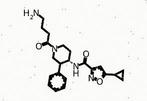 NCCCC(=O)N1CC[C@H](NC(=O)c2cc(C3CC3)on2)C(c2ccccc2)C1